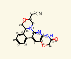 N#CCC1CN(c2ccc3c(n2)NC(=O)CO3)C(c2ccccc2)CO1